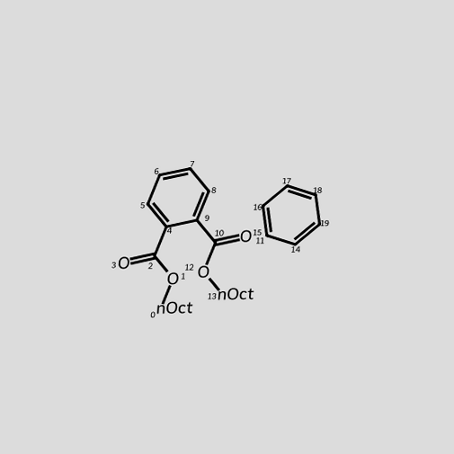 CCCCCCCCOC(=O)c1ccccc1C(=O)OCCCCCCCC.c1ccccc1